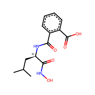 CC(C)C[C@@H](NC(=O)c1ccccc1C(=O)O)C(=O)NO